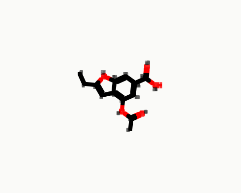 CCc1cc2c(OC(C)=O)cc(C(=O)O)cc2o1